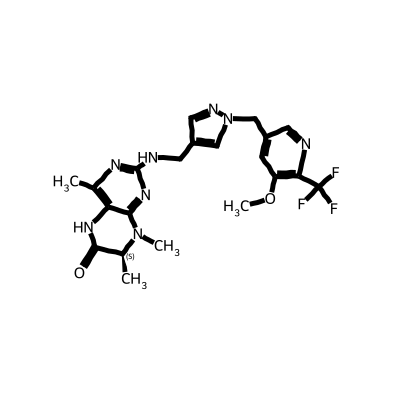 COc1cc(Cn2cc(CNc3nc(C)c4c(n3)N(C)[C@@H](C)C(=O)N4)cn2)cnc1C(F)(F)F